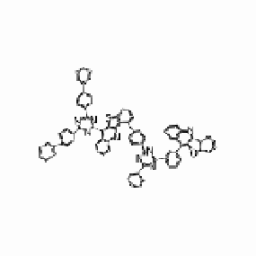 c1ccc(-c2ccc(-c3nc(-c4ccc(-c5ccccc5)cc4)nc(-c4c5ccccc5nc5c4sc4cccc(-c6ccc(-c7nc(-c8ccccc8)nc(-c8cccc(-c9c%10ccccc%10nc%10c9oc9ccccc9%10)c8)n7)cc6)c45)n3)cc2)cc1